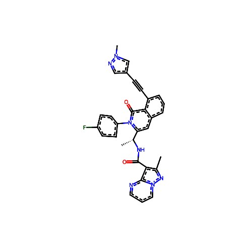 Cc1nn2cccnc2c1C(=O)N[C@H](C)c1cc2cccc(C#Cc3cnn(C)c3)c2c(=O)n1-c1ccc(F)cc1